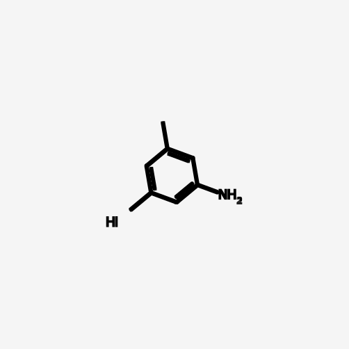 Cc1cc(C)cc(N)c1.I